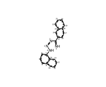 N=C(/N=N\Nc1cccc2ccccc12)c1ccc2ccccc2c1